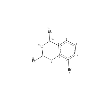 CCC1Cc2c(Br)cccc2C(CC)O1